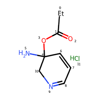 CCC(=O)OC1(N)C=CC=NC1.Cl